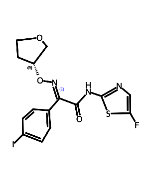 O=C(Nc1ncc(F)s1)/C(=N/O[C@@H]1CCOC1)c1ccc(I)cc1